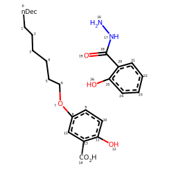 CCCCCCCCCCCCCCCCOc1ccc(O)c(C(=O)O)c1.NNC(=O)c1ccccc1O